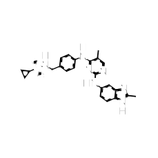 Cc1nc2cc(Nc3ncc(C)c(Nc4ccc(CNS(=O)(=O)C5CC5)cc4)n3)ccc2[nH]1